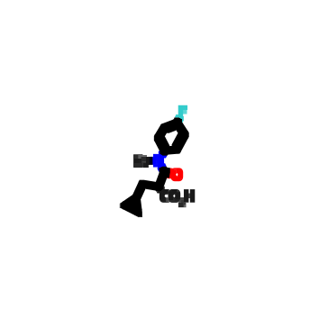 CCN(C(=O)C(CC1CC1)C(=O)O)c1ccc(F)cc1